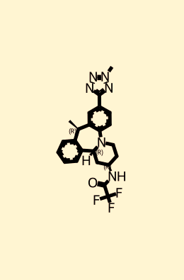 C[C@@H]1c2ccccc2[C@H]2C[C@H](NC(=O)C(F)(F)F)CCN2c2ccc(-c3nnn(C)n3)cc21